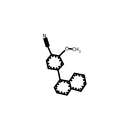 COc1cc(-c2cccc3ccccc23)ccc1C#N